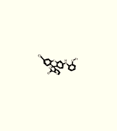 CCOc1ccccc1Nc1ccc2c(c1)Oc1cc(Cl)ccc1C21OC(=O)c2ccccc21